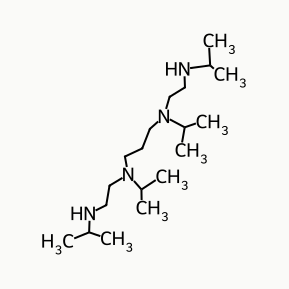 CC(C)NCCN(CCCN(CCNC(C)C)C(C)C)C(C)C